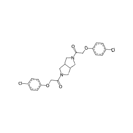 O=C(COc1ccc(Cl)cc1)N1CC2CN(C(=O)COc3ccc(Cl)cc3)CC2C1